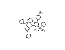 CC(C)(C)c1ccc(-c2c3c(cc4oc5c(N(c6ccccc6)c6ccc(-c7ccccc7)cc6)cccc5c24)C(C)(C)c2ccccc2-3)cc1